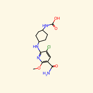 COc1nc(NC2CCC(NC(=O)O)CC2)c(Cl)cc1C(N)=O